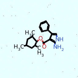 CC1CC(C)C(OC(=O)c2c(-c3ccccc3)c[nH]c2N)C(C)C1